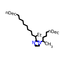 CCCCCCCCCCCCCCCCCCC(CC)c1nccn1C(C)CCCCCCCCCCCCC